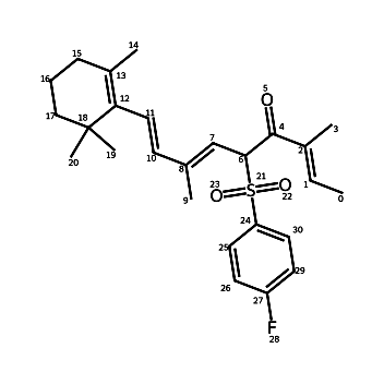 CC=C(C)C(=O)C(C=C(C)C=CC1=C(C)CCCC1(C)C)S(=O)(=O)c1ccc(F)cc1